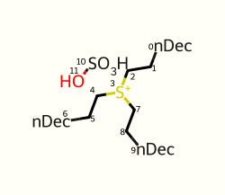 CCCCCCCCCCCC[S+](CCCCCCCCCCCC)CCCCCCCCCCCC.O=S(=O)(O)O